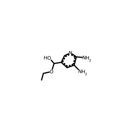 CCOC(O)c1cnc(N)c(N)c1